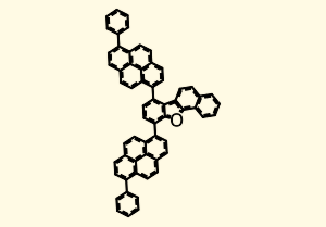 c1ccc(-c2ccc3ccc4c(-c5ccc(-c6ccc7ccc8c(-c9ccccc9)ccc9ccc6c7c98)c6c5oc5c7ccccc7ccc56)ccc5ccc2c3c54)cc1